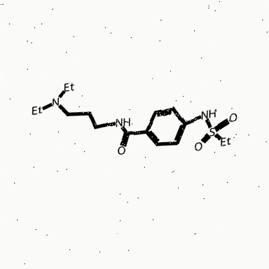 CCN(CC)CCCNC(=O)c1ccc(NS(=O)(=O)CC)cc1